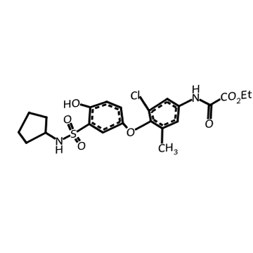 CCOC(=O)C(=O)Nc1cc(C)c(Oc2ccc(O)c(S(=O)(=O)NC3CCCC3)c2)c(Cl)c1